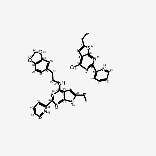 CCc1cc2c(Cl)nc(-c3ccccn3)nc2s1.CCc1cc2c(NCCc3ccc4c(c3)OCO4)nc(-c3ccccn3)nc2s1